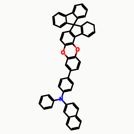 C1=CC2=C(CC1)C1(c3ccccc3-c3ccccc31)c1ccc3c(c12)Oc1ccc(-c2ccc(N(c4ccccc4)c4ccc5ccccc5c4)cc2)cc1O3